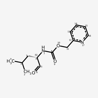 CC(C)C[C@@H]([C]=O)NC(=O)OCc1ccccn1